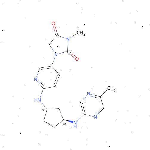 Cc1cnc(N[C@H]2CC[C@H](Nc3ccc(N4CC(=O)N(C)C4=O)cn3)C2)cn1